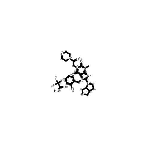 Cn1c(=O)n(CC(=O)N2CCOCC2)c(=O)c2c1nc(N1CCC3CNCC31)n2Cc1ccccc1Cl.O=C(O)C(F)(F)F